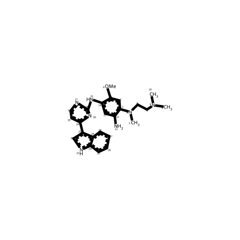 COc1cc(N(C)CCN(C)C)c(N)cc1Nc1nccc(-c2c[nH]c3ccccc23)n1